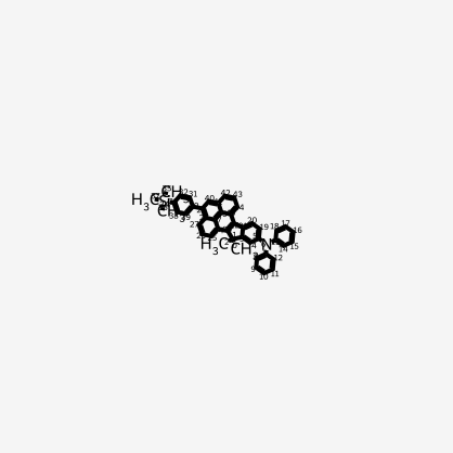 CC1(C)c2cc(N(c3ccccc3)c3ccccc3)ccc2-c2c1c1cccc3c(-c4ccc([Si](C)(C)C)cc4)cc4cccc2c4c31